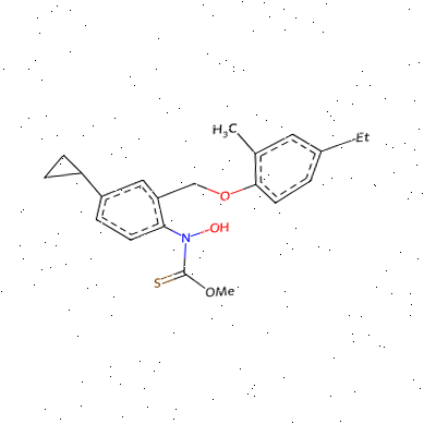 CCc1ccc(OCc2cc(C3CC3)ccc2N(O)C(=S)OC)c(C)c1